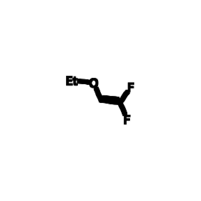 CCOC=C(F)F